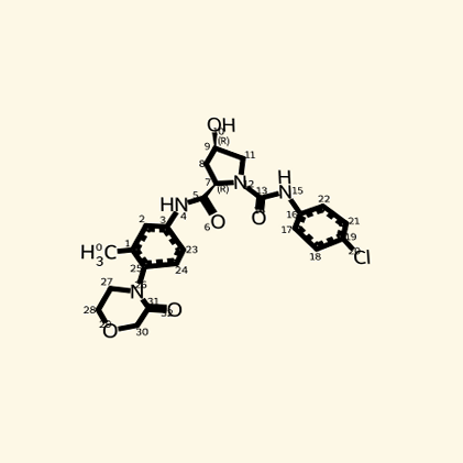 Cc1cc(NC(=O)[C@H]2C[C@@H](O)CN2C(=O)Nc2ccc(Cl)cc2)ccc1N1CCOCC1=O